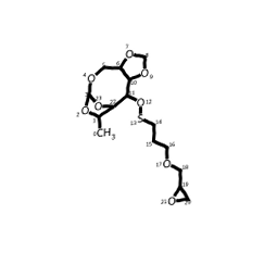 CC1OC2OCC3OCOC3C(OSCCCOCC3CO3)C1O2